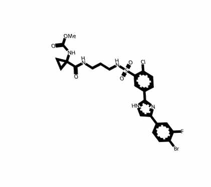 COC(=O)NC1(C(=O)NCCCNS(=O)(=O)c2cc(-c3nc(-c4ccc(Br)c(F)c4)c[nH]3)ccc2Cl)CC1